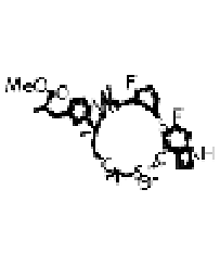 COC(=O)C(C)Cc1cccc([C@@]2(C)CCCC(C)(C)C[S+]([O-])CCc3c(c(F)cc4[nH]ccc34)Sc3ccc(F)c(c3)-c3nc2nn3C)c1